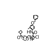 Cc1cc(OCc2ccccc2)ccc1NC(=O)c1c(Cl)cnn1CC1CN(C(=O)C2CCC2)CCO1